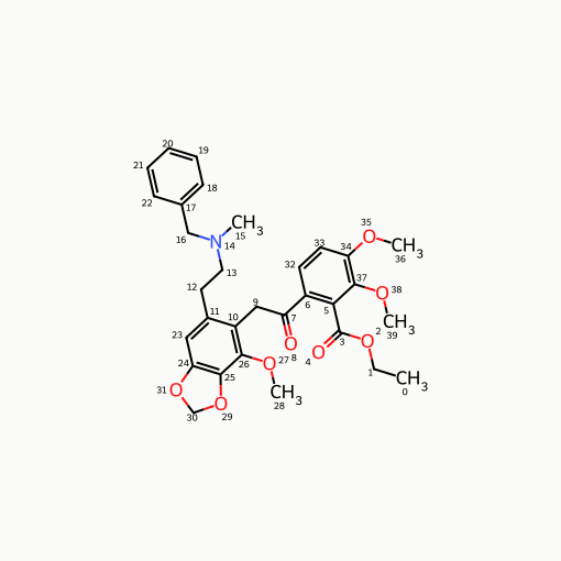 CCOC(=O)c1c(C(=O)Cc2c(CCN(C)Cc3ccccc3)cc3c(c2OC)OCO3)ccc(OC)c1OC